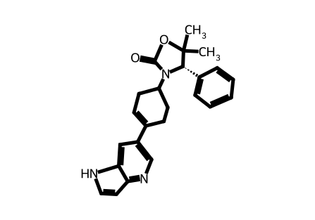 CC1(C)OC(=O)N(C2CC=C(c3cnc4cc[nH]c4c3)CC2)[C@H]1c1ccccc1